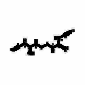 N#CNC(=N)NCCNC(=N)NC#N